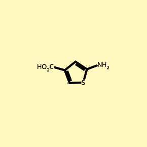 Nc1cc(C(=O)O)[c]s1